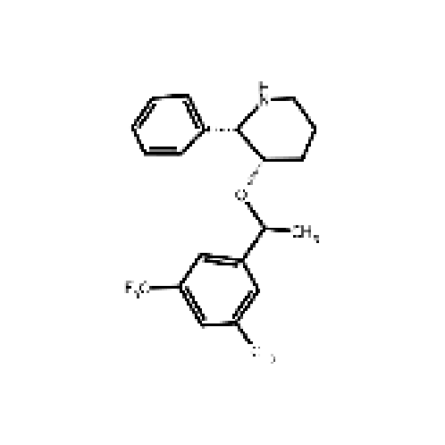 CC(O[C@H]1CCCN[C@H]1c1ccccc1)c1cc(C(F)(F)F)cc(C(F)(F)F)c1